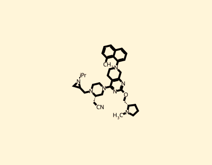 Cc1cccc2cccc(N3CCc4c(nc(OC[C@@H]5CCCN5C)nc4N4CCN(CC5C[N@]5C(C)C)[C@@H](CC#N)C4)C3)c12